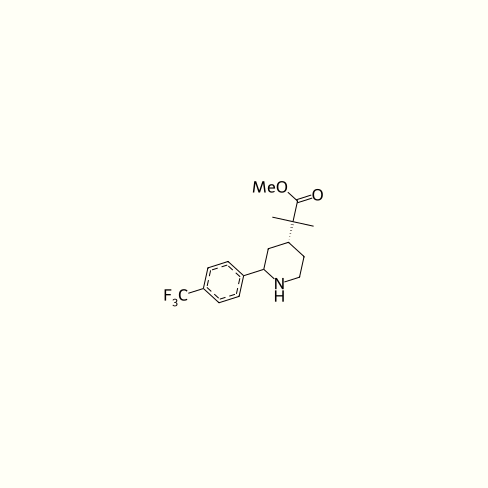 COC(=O)C(C)(C)[C@@H]1CCNC(c2ccc(C(F)(F)F)cc2)C1